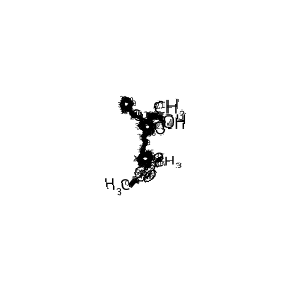 CCCCS(=O)(=O)Oc1ccc(CC=Cc2ccc(C=C(C)C(=O)O)c(OCc3ccccc3)c2)cc1OC